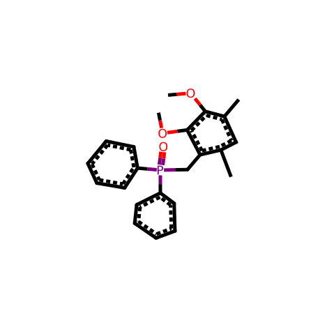 COc1c(C)cc(C)c(CP(=O)(c2ccccc2)c2ccccc2)c1OC